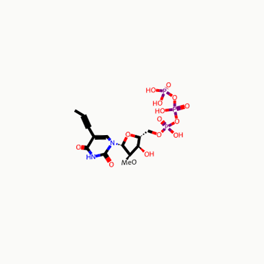 CC#Cc1cn([C@@H]2O[C@H](COP(=O)(O)OP(=O)(O)OP(=O)(O)O)[C@@H](O)[C@H]2OC)c(=O)[nH]c1=O